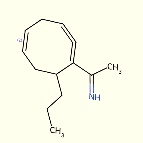 CCCC1C/C=C\CC=C=C1C(C)=N